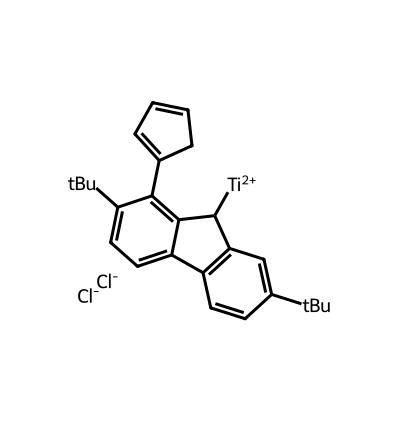 CC(C)(C)c1ccc2c(c1)[CH]([Ti+2])c1c-2ccc(C(C)(C)C)c1C1=CC=CC1.[Cl-].[Cl-]